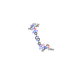 COC(=O)NC(C(=O)N1[C@@H]2C[C@@H]2C[C@H]1c1nc2cc(-c3ccc4nc(-c5ccc6[nH]c([C@@H]7C[C@H]8C[C@H]8N7C(=O)C(NC(=O)O)C(C)C)nc6c5)ccc4n3)ccc2[nH]1)C(C)C